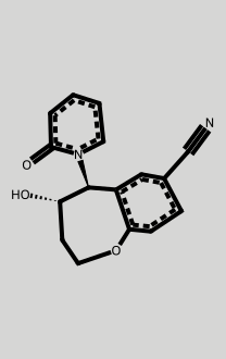 N#Cc1ccc2c(c1)[C@H](n1ccccc1=O)[C@@H](O)CCO2